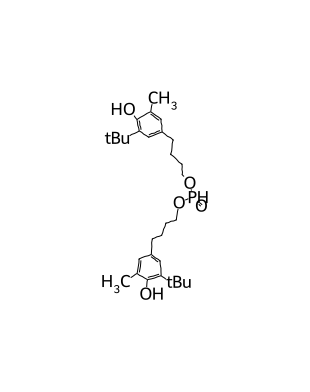 Cc1cc(CCCCO[PH](=O)OCCCCc2cc(C)c(O)c(C(C)(C)C)c2)cc(C(C)(C)C)c1O